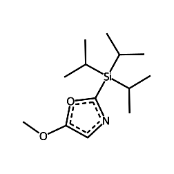 COc1cnc([Si](C(C)C)(C(C)C)C(C)C)o1